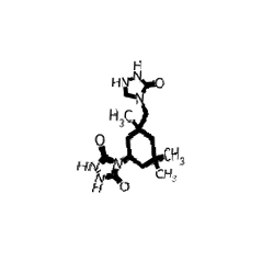 CC1(C)CC(n2c(=O)[nH][nH]c2=O)CC(C)(CN2CNNC2=O)C1